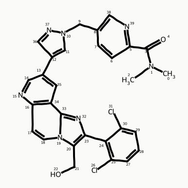 CN(C)C(=O)c1ccc(Cn2cc(-c3cnc4ccn5c(CO)c(-c6c(Cl)cccc6Cl)nc5c4c3)cn2)cn1